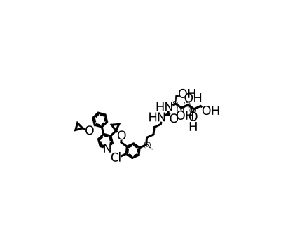 C[C@@H](CCCCNC(=O)N[C@@H](CO)[C@@H](O)[C@H](O)[C@H](O)CO)c1ccc(Cl)c(COC2(c3cnccc3-c3ccccc3OC3CC3)CC2)c1